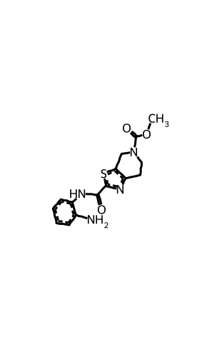 COC(=O)N1CCc2nc(C(=O)Nc3ccccc3N)sc2C1